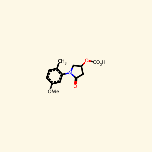 COc1ccc(C)c(N2CC(OC(=O)O)CC2=O)c1